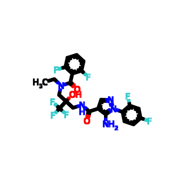 CCN(CC(O)(CNC(=O)c1cnn(-c2ccc(F)cc2F)c1N)C(F)(F)F)C(=O)c1c(F)cccc1F